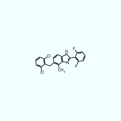 Cc1c(Cc2c(Cl)cccc2Cl)ccc2[nH]c(-c3c(F)cccc3F)nc12